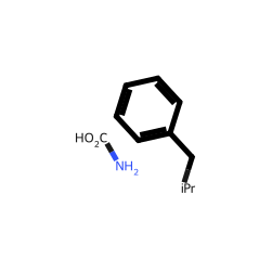 CC(C)Cc1ccccc1.NC(=O)O